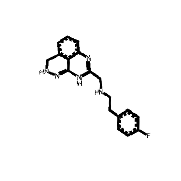 Fc1ccc(CCNCC2=Nc3cccc4c3C(=NNC4)N2)cc1